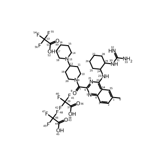 Cc1ccc2nc(C(=O)N3CCC(N4CCCCC4)CC3)nc(NC3CCCCC3NC(=N)N)c2c1.O=C(O)C(F)(F)F.O=C(O)C(F)(F)F.O=C(O)C(F)(F)F